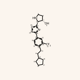 O[C@H]1CCN[C@@H]1c1nc(-c2ccc(CCC3CCCC3)c(C(F)(F)F)c2)no1